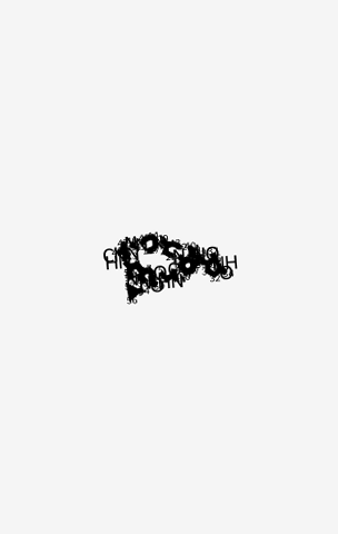 CNC(=O)COc1cc2cc(Nc3nc(N4CCN(CC5CCN(c6cccc7c(C8CCC(=O)NC8=O)nn(C)c67)CC5)CC4)ncc3Cl)cnc2n(CC2CC2)c1=O